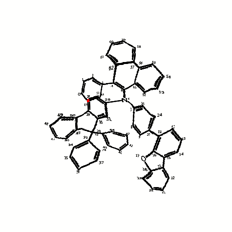 c1ccc(-c2c(N(c3ccc(-c4cccc5c4oc4ccccc45)cc3)c3ccc4c(c3)C(c3ccccc3)(c3ccccc3)c3ccccc3-4)c3ccccc3c3ccccc23)cc1